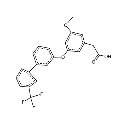 COc1cc(CC(=O)O)cc(Oc2cccc(-c3cccc(C(F)(F)F)c3)c2)c1